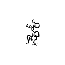 CC(=O)N(Cc1cccc(CN(C(C)=O)N2CCCC2=O)n1)N1CCCC1=O